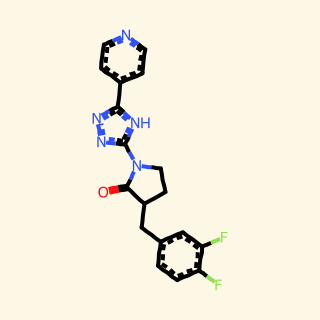 O=C1C(Cc2ccc(F)c(F)c2)CCN1c1nnc(-c2ccncc2)[nH]1